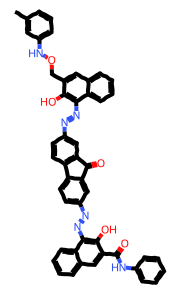 Cc1cccc(NOCc2cc3ccccc3c(N=Nc3ccc4c(c3)C(=O)c3cc(N=Nc5c(O)c(C(=O)Nc6ccccc6)cc6ccccc56)ccc3-4)c2O)c1